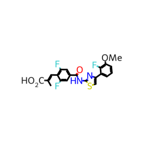 COc1cccc(-c2csc(NC(=O)c3cc(F)c(C=C(C)C(=O)O)c(F)c3)n2)c1F